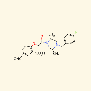 CC1CN(C(=O)COc2ccc(C=O)cc2C(=O)O)C(C)CN1Cc1ccc(F)cc1